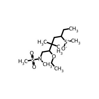 CCOC(CN(C)S(C)(=O)=O)C(C)(C)CC(CC)[S+](C)[O-]